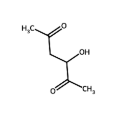 CC(=O)CC(O)C(C)=O